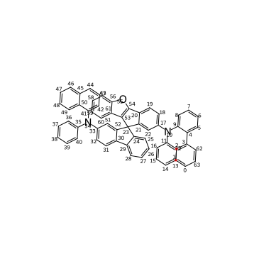 c1ccc(-c2ccccc2N(c2ccccc2)c2ccc3c(c2)C2(c4ccccc4-c4ccc(N(c5ccccc5)c5cccc6ccccc56)cc42)c2c-3oc3ccccc23)cc1